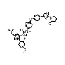 COc1ccc(-n2nc(CC(C)C)cc2NC(=O)Nc2cnc(Oc3ccc(-c4cnc(N5CCCC5=O)s4)cc3)nc2)c(F)c1